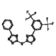 FC(F)(F)c1cc(-c2csc(Sc3nnc(-c4ccccc4)s3)n2)cc(C(F)(F)F)c1